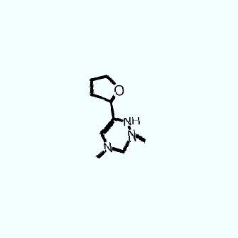 CN1C=C(C2CCCO2)NN(C)C1